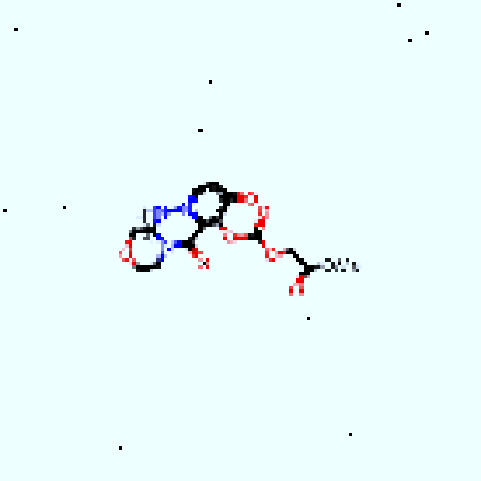 COC(=O)COC(=O)Oc1c2n(ccc1=O)N[C@@H]1COCCN1C2=O